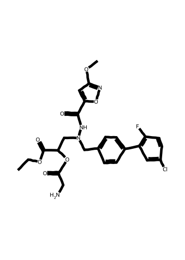 CCOC(=O)C(CN(Cc1ccc(-c2cc(Cl)ccc2F)cc1)NC(=O)c1cc(OC)no1)OC(=O)CN